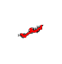 O=C1CCC(N2C(=O)c3cccc(NCCOCCOCCOCC(=O)N4C[C@H]([C@]5(C(=O)O)CCCN5C(=O)O)C[C@H]4C(=O)NCc4ccc(-n5cc(NC(=O)c6coc(-c7ccnc(NCC8CC8)c7)n6)c(C(F)F)n5)cc4)c3C2=O)C(=O)N1